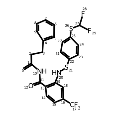 C=C(CCc1ccccc1)NC(=O)c1ccc(C(F)(F)F)cc1NSc1ccc(SC(F)F)cc1